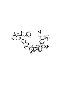 O=C(NC(c1ccccc1)c1cccc(OC(=O)c2cccc(CN3CCS[C@]3(C(=O)O)[C@@H](Cc3c(Cl)c[n+]([O-])cc3Cl)c3ccc(OC(F)F)c(OCC4CC4)c3)c2)c1)O[C@H]1CN2CCC1CC2